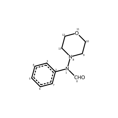 O=CN(c1c[c]ccc1)N1CCOCC1